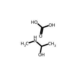 CNC(C)O.O=C(O)O